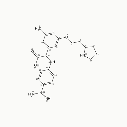 Cc1cc(OCCC2CCCN2)cc(C(Nc2ccc(C(=N)N)cc2)C(=O)O)c1